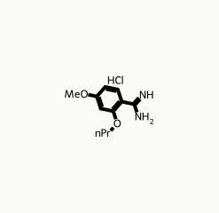 CCCOc1cc(OC)ccc1C(=N)N.Cl